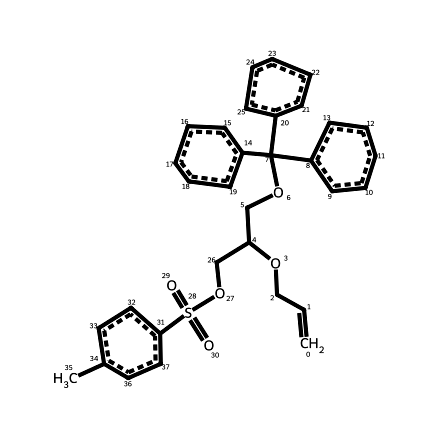 C=CCOC(COC(c1ccccc1)(c1ccccc1)c1ccccc1)COS(=O)(=O)c1ccc(C)cc1